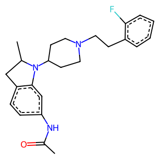 CC(=O)Nc1ccc2c(c1)N(C1CCN(CCc3ccccc3F)CC1)C(C)C2